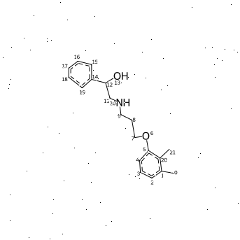 Cc1cccc(OCCCNCC(O)c2ccccc2)c1C